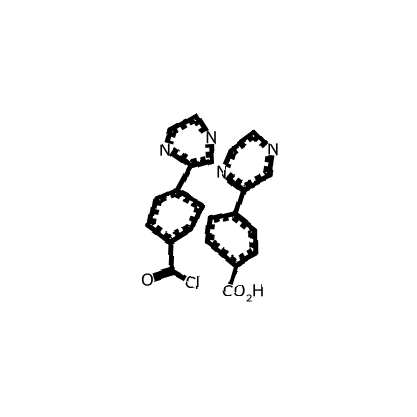 O=C(Cl)c1ccc(-c2cnccn2)cc1.O=C(O)c1ccc(-c2cnccn2)cc1